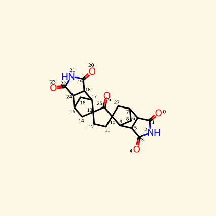 O=C1NC(=O)C2C1C1CC2C2(CCC3(CC4CC3C3C(=O)NC(=O)C43)C2=O)C1